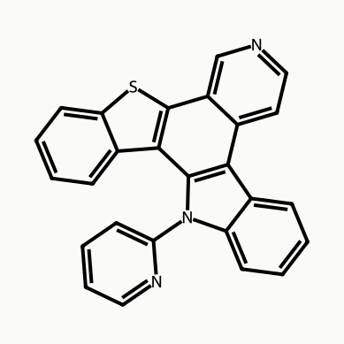 c1ccc(-n2c3ccccc3c3c4ccncc4c4sc5ccccc5c4c32)nc1